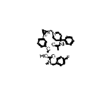 CN(Cc1ccc(F)cc1)C(=O)O.COc1cccc([C@H]2C[C@H]2CN2CCC(NC(C)=O)(c3ccccc3)CC2)c1